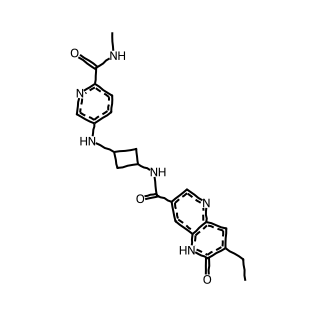 CCc1cc2ncc(C(=O)NC3CC(Nc4ccc(C(=O)NC)nc4)C3)cc2[nH]c1=O